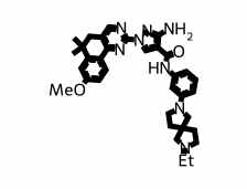 CCN1CCC2(CCN(c3cccc(NC(=O)c4cn(-c5ncc6c(n5)-c5ccc(OC)cc5C(C)(C)C6)nc4N)c3)C2)C1